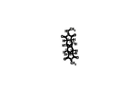 CBN1C(=O)[C@@H]2[C@H](C1=O)[C@@H]1C[C@H]2C2C1[C@H]1C[C@@H]2[C@@H]2C(=O)N(C)C(=O)[C@@H]21